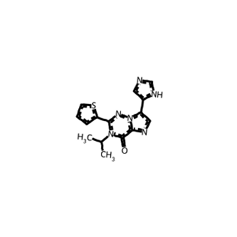 CC(C)n1c(-c2cccs2)nn2c(-c3cnc[nH]3)cnc2c1=O